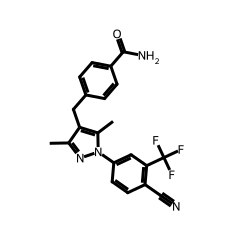 Cc1nn(-c2ccc(C#N)c(C(F)(F)F)c2)c(C)c1Cc1ccc(C(N)=O)cc1